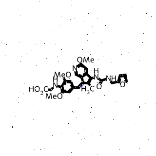 COc1cc2c(cn1)/C(=C\c1cc(OC)c(NCC(=O)O)c(OC)c1)C(C)=C2NC(=O)NCc1ccco1